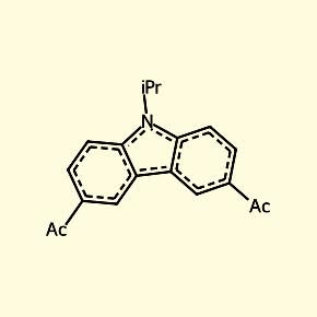 CC(=O)c1ccc2c(c1)c1cc(C(C)=O)ccc1n2C(C)C